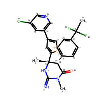 CN1C(=N)N[C@](C)(c2cc(-c3cncc(Cl)c3)cs2)[C@H](c2ccc(C(C)(F)F)cc2)C1=O